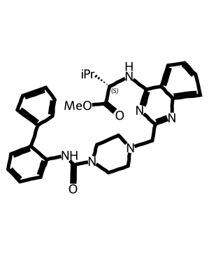 COC(=O)[C@@H](Nc1nc(CN2CCN(C(=O)Nc3ccccc3-c3ccccc3)CC2)nc2ccccc12)C(C)C